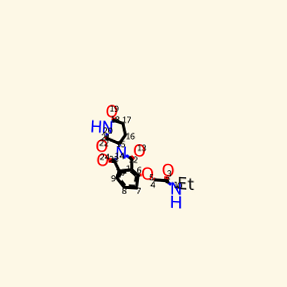 CCNC(=O)COc1cccc2c1C(=O)N(C1CCC(=O)NC1=O)C2=O